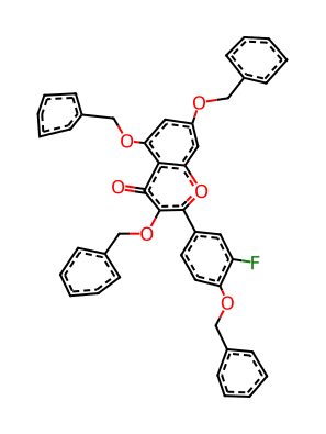 O=c1c(OCc2ccccc2)c(-c2ccc(OCc3ccccc3)c(F)c2)oc2cc(OCc3ccccc3)cc(OCc3ccccc3)c12